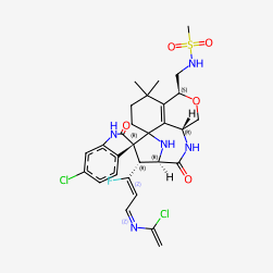 C=C(Cl)/N=C\C=C(/F)[C@H]1[C@H]2NC3(CCC(C)(C)C4=C3[C@H](CO[C@@H]4CNS(C)(=O)=O)NC2=O)[C@@]12C(=O)Nc1cc(Cl)ccc12